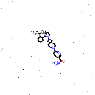 CC(C)c1ccccc1C1CCCN1C1CC2(CCN(c3ccc(C(N)=O)cn3)CC2)C1